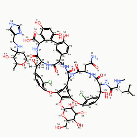 CN[C@H](CC(C)C)C(=O)NC1C(=O)NC(CC(N)=O)C(=O)NC2C(=O)N[C@H]3C(=O)N[C@H](C(=O)NC(C(=O)O)c4cc(O)cc(O)c4-c4cc3ccc4O)[C@H](O[C@H]3CC(C)(NCc4c[nH]cn4)[C@@H](O)C(C)O3)c3ccc(c(Cl)c3)Oc3cc2cc(c3O[C@@H]2O[C@H](CO)C(O)C(O)C2O)Oc2ccc(cc2Cl)C1O